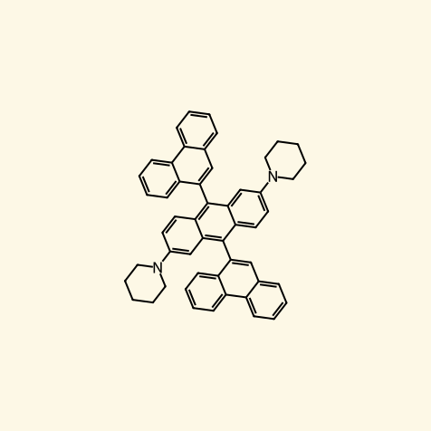 c1ccc2c(c1)cc(-c1c3ccc(N4CCCCC4)cc3c(-c3cc4ccccc4c4ccccc34)c3ccc(N4CCCCC4)cc13)c1ccccc12